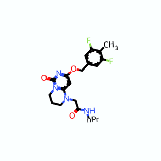 CCCNC(=O)CN1CCCn2c1cc(OCc1cc(F)c(C)c(F)c1)nc2=O